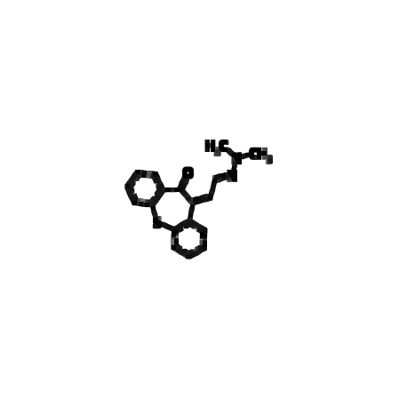 CN(C)N=CC=C1C(=O)c2ccccc2Sc2ccccc21